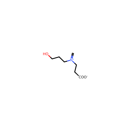 C=[N+](CCCO)CCC(=O)[O-]